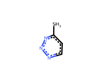 [SiH3]c1ccnnn1